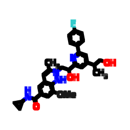 COc1cc(C(=O)NC2CC2)cc2c1NN(CC(O)c1cc(C(C)CO)cc(-c3ccc(F)cc3)n1)C(C)=C2